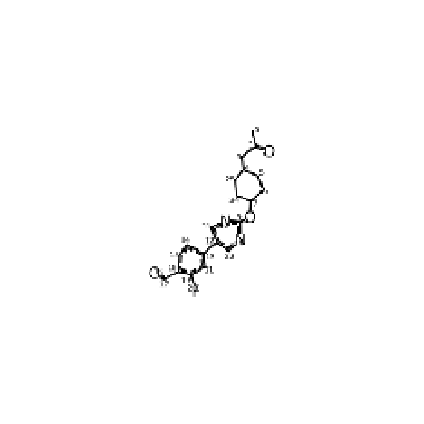 CC(=O)CC1CCC(Oc2ncc(-c3ccc(C=O)c(F)c3)cn2)CC1